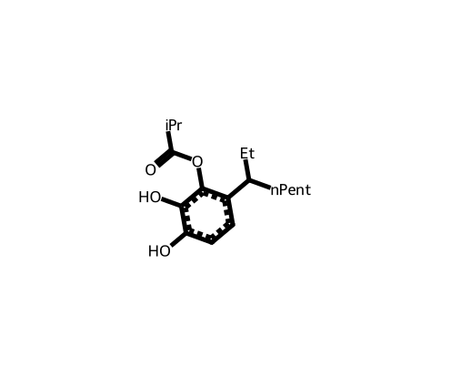 CCCCCC(CC)c1ccc(O)c(O)c1OC(=O)C(C)C